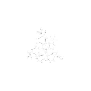 CCCC1C=C(C(C)(C)C)C=[C]1[Zr+2](=[C](c1ccc(C(F)(F)F)cc1)c1ccc(C(F)(F)F)cc1)[CH]1c2ccccc2-c2ccccc21.[Cl-].[Cl-]